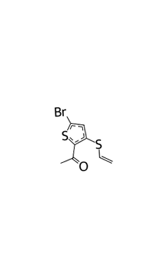 C=CSc1cc(Br)sc1C(C)=O